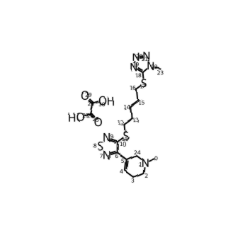 CN1CCC=C(c2nsnc2SCCCCCSc2nnnn2C)C1.O=C(O)C(=O)O